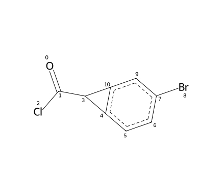 O=C(Cl)C1c2ccc(Br)cc21